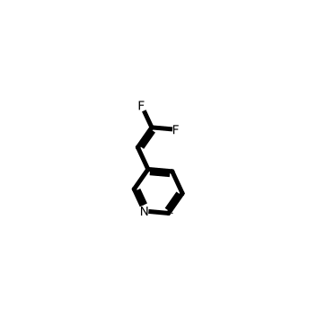 FC(F)=Cc1cc[c]nc1